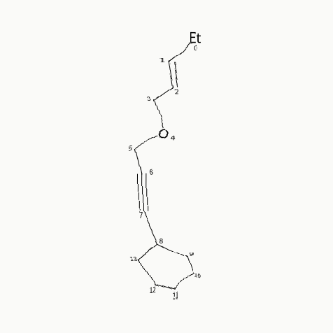 CCC=CCOCC#CC1CCCCC1